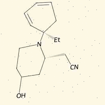 CC[C@]1(N2CCC(O)C[C@H]2CC#N)C=CC=CC1